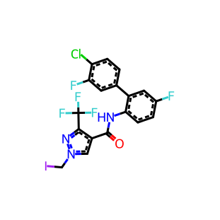 O=C(Nc1ccc(F)cc1-c1ccc(Cl)c(F)c1)c1cn(CI)nc1C(F)(F)F